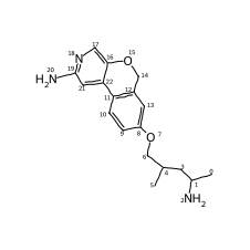 CC(N)CC(C)COc1ccc2c(c1)COc1cnc(N)cc1-2